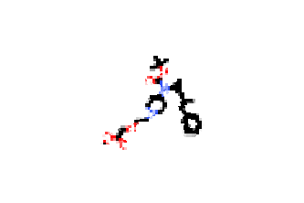 COC(=O)COCCN1CCC(N(C(=O)OC(C)(C)C)C2CC2C(C)=Cc2ccccc2)CC1